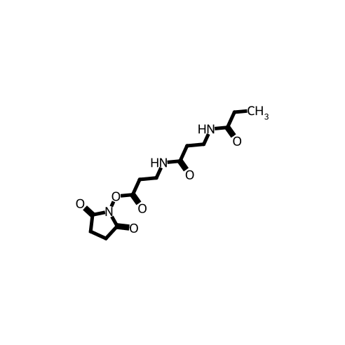 CCC(=O)NCCC(=O)NCCC(=O)ON1C(=O)CCC1=O